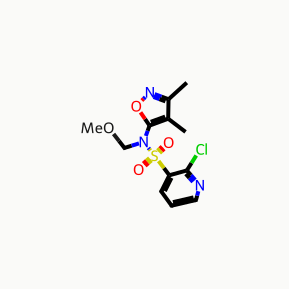 COCN(c1onc(C)c1C)S(=O)(=O)c1cccnc1Cl